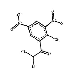 O=C(c1cc([N+](=O)[O-])cc([N+](=O)[O-])c1O)C(Cl)Cl